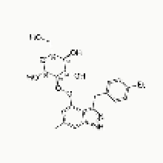 CCc1ccc(Cc2n[nH]c3cc(C)cc(OO[C@@H]4[C@@H](O)[C@H](O)[C@@H](CO)O[C@H]4O)c23)cc1